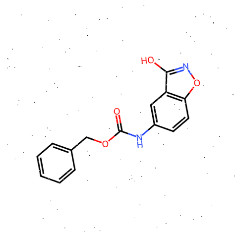 O=C(Nc1ccc2onc(O)c2c1)OCc1ccccc1